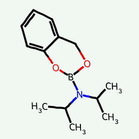 CC(C)N(B1OCc2ccccc2O1)C(C)C